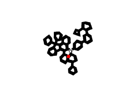 c1ccc(-c2ccc(N(c3ccc(-c4cccc(-c5ccccc5C5CCC5)c4)cc3)c3c(-c4ccccc4)c4c(c5ccccc35)C(c3ccccc3)(c3ccccc3)c3ccccc3-4)cc2)cc1